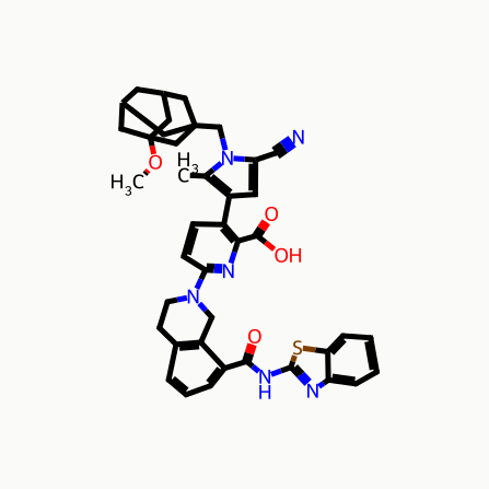 COC12CC3CC(CC(Cn4c(C#N)cc(-c5ccc(N6CCc7cccc(C(=O)Nc8nc9ccccc9s8)c7C6)nc5C(=O)O)c4C)(C3)C1)C2